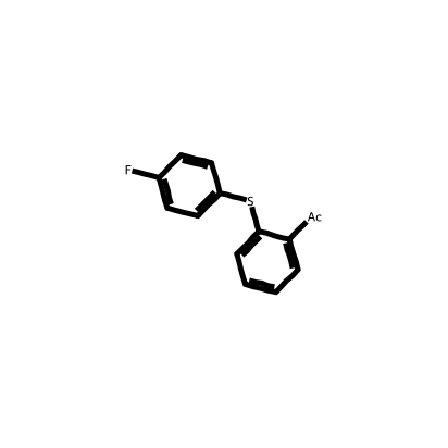 CC(=O)c1ccccc1Sc1ccc(F)cc1